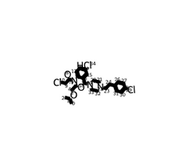 CC(C)OCCN(C(=O)CCl)c1ccccc1C(=O)N1CCN(CCc2ccc(Cl)cc2)CC1.Cl